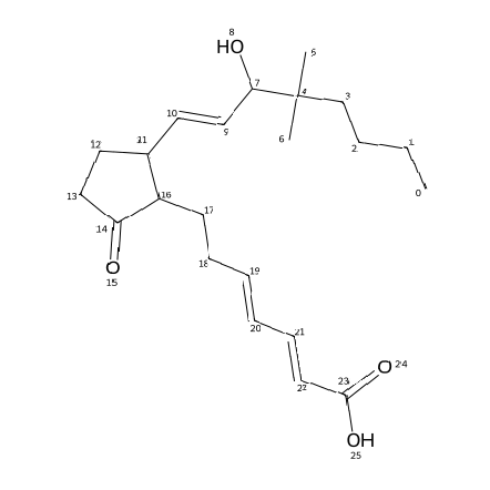 CCCCC(C)(C)C(O)/C=C/C1CCC(=O)C1CCC=C/C=C/C(=O)O